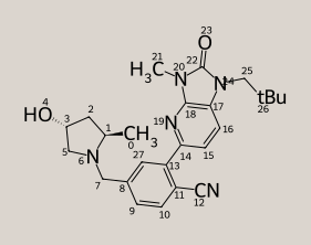 C[C@@H]1C[C@@H](O)CN1Cc1ccc(C#N)c(-c2ccc3c(n2)n(C)c(=O)n3CC(C)(C)C)c1